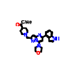 COC(=O)C1CCN(Cc2cc3nc(-c4cccc5[nH]ccc45)cc(N4CCOCC4)n3n2)CC1